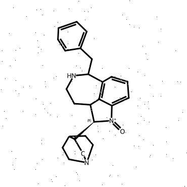 O=[N+]1c2cccc3c2C(CCNC3Cc2ccccc2)[C@@H]1C1CN2CCC1CC2